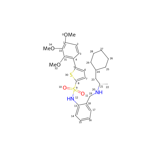 COc1ccc(-c2ccc(S(=O)(=O)Nc3ccccc3CN[C@@H](C)CC3CCCCC3)s2)c(OC)c1OC